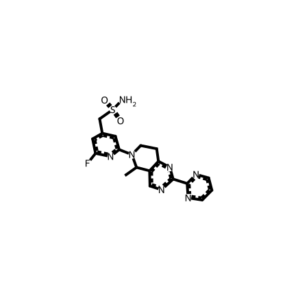 CC1c2cnc(-c3ncccn3)nc2CCN1c1cc(CS(N)(=O)=O)cc(F)n1